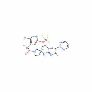 Cc1nc2c(cc1-c1ncccn1)CC[C@@]1(CCN(C(=O)[C@H](C)c3cc(OC(F)(F)F)ncc3Cl)C1)N2